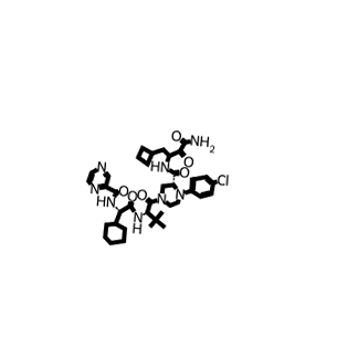 CC(C)(C)[C@H](NC(=O)[C@@H](NC(=O)c1cnccn1)C1CCCCC1)C(=O)N1CCN(c2ccc(Cl)cc2)[C@@H](C(=O)NC(CC2CCC2)C(=O)C(N)=O)C1